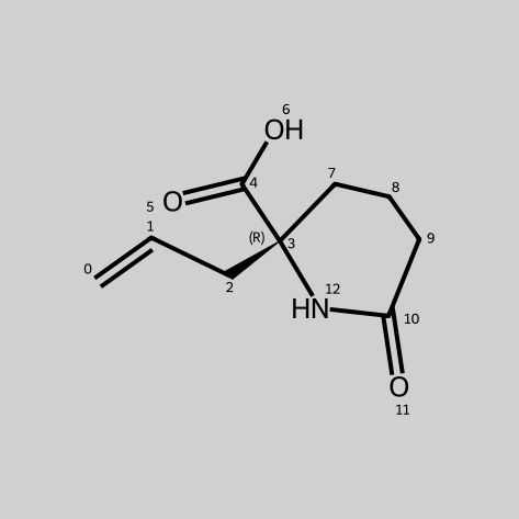 C=CC[C@@]1(C(=O)O)CCCC(=O)N1